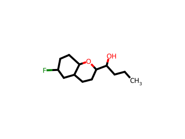 CCCC(O)C1CCC2CC(F)CCC2O1